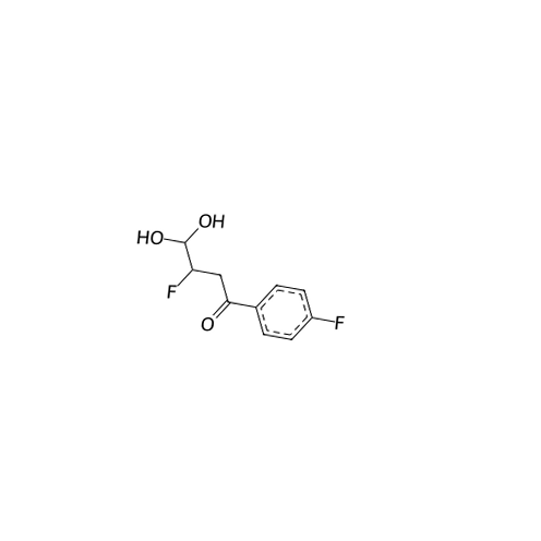 O=C(CC(F)C(O)O)c1ccc(F)cc1